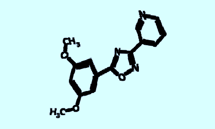 COc1cc(OC)cc(-c2nc(-c3cccnc3)no2)c1